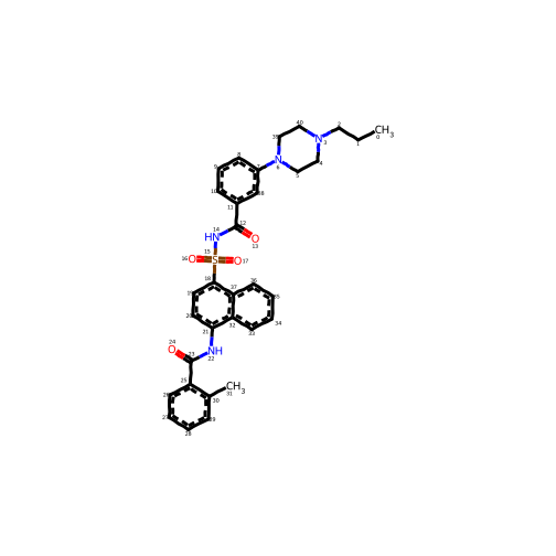 CCCN1CCN(c2cccc(C(=O)NS(=O)(=O)c3ccc(NC(=O)c4ccccc4C)c4ccccc34)c2)CC1